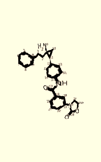 N[C@@]1(CCc2ccccc2)C[C@H]1c1ccc(NC(=O)c2cccc(N3CCOC3=O)c2)cc1